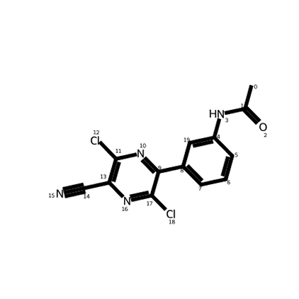 CC(=O)Nc1cccc(-c2nc(Cl)c(C#N)nc2Cl)c1